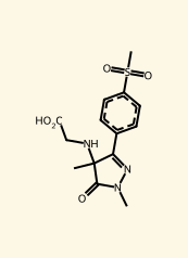 CN1N=C(c2ccc(S(C)(=O)=O)cc2)C(C)(NCC(=O)O)C1=O